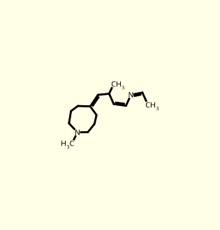 C/C=N\C=C/C(C)C=C1CCCN(C)CCC1